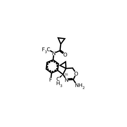 C[C@]1(c2cc(N(C(=O)C3CC3)C(F)(F)F)ccc2F)N=C(N)OCC12CC2